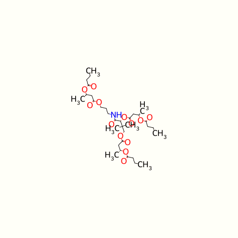 CCCC(=O)O[C@H](C)CC(=O)OCCCNC(=O)[C@H](OC(=O)C[C@@H](C)OC(=O)CCC)C(C)(C)COC(=O)C[C@@H](C)OC(=O)CCC